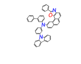 c1ccc(-c2cccc(N(c3cccc(-n4c5ccccc5c5ccccc54)c3)c3ccc4ccc5ccc6nc(-c7ccccc7)oc6c5c4c3)c2)cc1